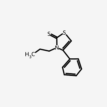 CCCn1c(-c2ccccc2)csc1=S